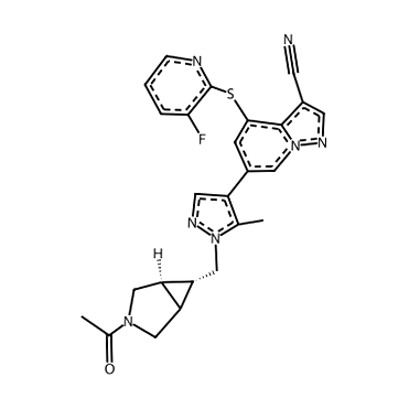 CC(=O)N1CC2[C@@H](C1)[C@@H]2Cn1ncc(-c2cc(Sc3ncccc3F)c3c(C#N)cnn3c2)c1C